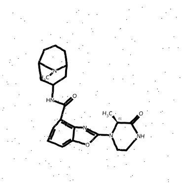 C[C@H]1C(=O)NCCN1c1nc2c(C(=O)NC3CC4CCCC(C3)N4C)cccc2o1